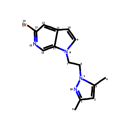 Cc1cc(C)n(CCn2ccc3cc(Br)ncc32)n1